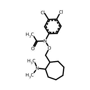 CC(=O)N(OCC1CCCCCC1N(C)C)c1ccc(Cl)c(Cl)c1